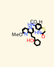 COc1ccc2nccc(CCC3(O)CCCCC3)c2n1.O=C(O)Nc1ccc2c(c1)NC(=O)CS2